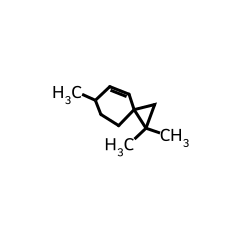 CC1C=CC2(CC1)CC2(C)C